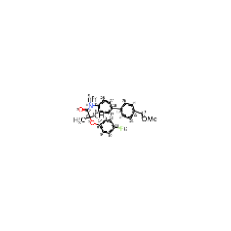 CCCN(C(=O)C(C)(C)Oc1ccc(F)cc1)c1ccc(-c2ccc(COC)cc2)cc1